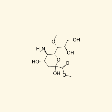 COC(=O)C1(O)C[C@H](O)[C@@H](N)[C@H]([C@H](OC)[C@H](O)CO)O1